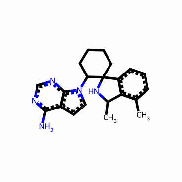 Cc1cccc2c1C(C)NC21CCCCC1n1ccc2c(N)ncnc21